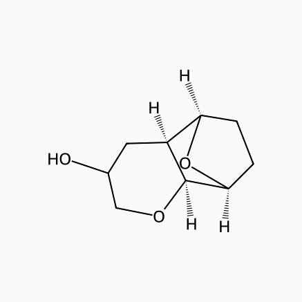 OC1CO[C@H]2[C@@H](C1)[C@H]1CC[C@@H]2O1